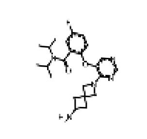 CC(C)N(C(=O)c1cc(F)ccc1Oc1cncnc1N1CC2(CC(N)C2)C1)C(C)C